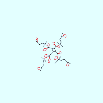 CC(C)(CCC1CO1)OC(=O)C1C(C(=O)OC(C)(C)CCC2CO2)C(C(=O)OC(C)(C)CCC2CO2)C1C(=O)OC(C)(C)CCC1CO1